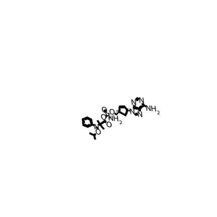 CC(C)ON(c1ccccc1)C(C)(C)C(=O)OP(N)(=O)OC[C@H]1C=C[C@@H](n2cnc3c(N)ncnc32)C1